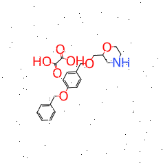 O=C(O)C(=O)O.c1ccc(COc2ccc(COCC3CNCCO3)cc2)cc1